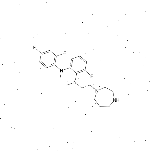 CN(CCN1CCCNCC1)c1c(F)cccc1N(C)c1ccc(F)cc1F